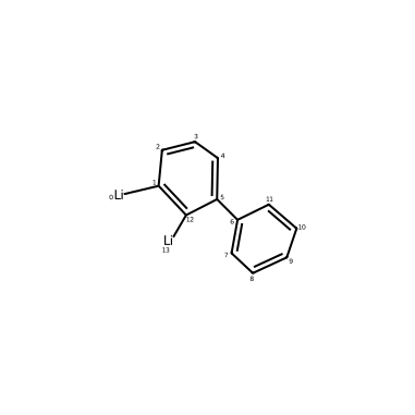 [Li][c]1cccc(-c2ccccc2)[c]1[Li]